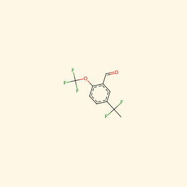 CC(F)(F)c1ccc(OC(F)(F)F)c(C=O)c1